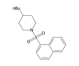 CCCCC1CCN(S(=O)(=O)c2cccc3ccccc23)CC1